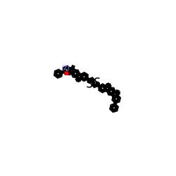 C=C(/C=C\C1=C(C)c2cc3c(cc2C1(C)C)C(C)(C)c1cc(-c2cc4sc(-c5ccc6c(c5)C(C)(C)c5cc7c(cc5-6)-c5cc(-c6ccccc6)ccc5C7(C)C)cc4s2)ccc1-3)c1ccccc1